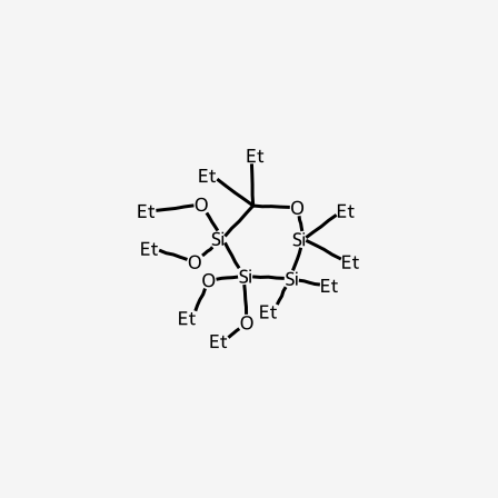 CCO[Si]1(OCC)C(CC)(CC)O[Si](CC)(CC)[Si](CC)(CC)[Si]1(OCC)OCC